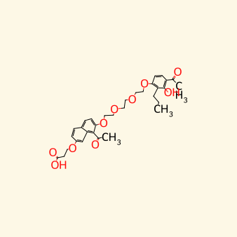 CCCc1c(OCCOCCOCCOc2ccc3ccc(OCCC(=O)O)cc3c2C(C)=O)ccc(C(C)=O)c1O